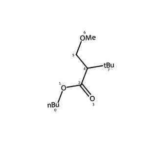 CCCCOC(=O)C(COC)C(C)(C)C